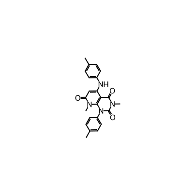 Cc1ccc(Nc2cc(=O)n(C)c3c2c(=O)n(C)c(=O)n3-c2ccc(C)cc2)cc1